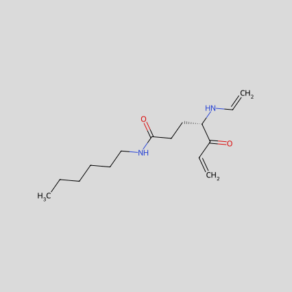 C=CN[C@@H](CCC(=O)NCCCCCC)C(=O)C=C